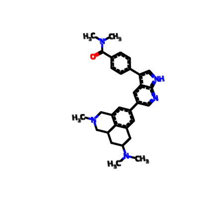 CN1Cc2cc(-c3cnc4[nH]cc(-c5ccc(C(=O)N(C)C)cc5)c4c3)cc3c2C(CC(N(C)C)C3)C1